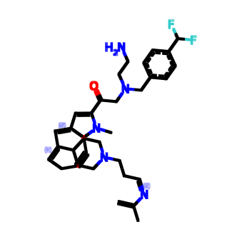 C=C(C)/N=C\CCN1CCC(C2=C\CC#CC3/C(=C\2)C=C(C(=O)CN(CCN)Cc2ccc(C(F)F)cc2)N3C)CC1